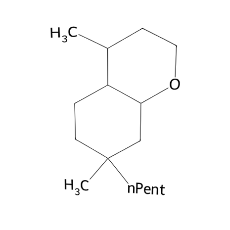 CCCCCC1(C)CCC2C(C)CCOC2C1